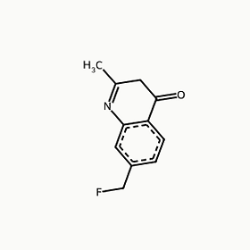 CC1=Nc2cc(CF)ccc2C(=O)C1